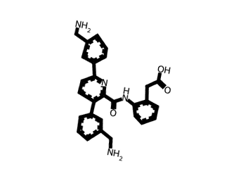 NCc1cccc(-c2ccc(-c3cccc(CN)c3)c(C(=O)Nc3ccccc3CC(=O)O)n2)c1